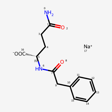 NC(=O)CC[C@H](NC(=O)Cc1ccccc1)C(=O)[O-].[Na+]